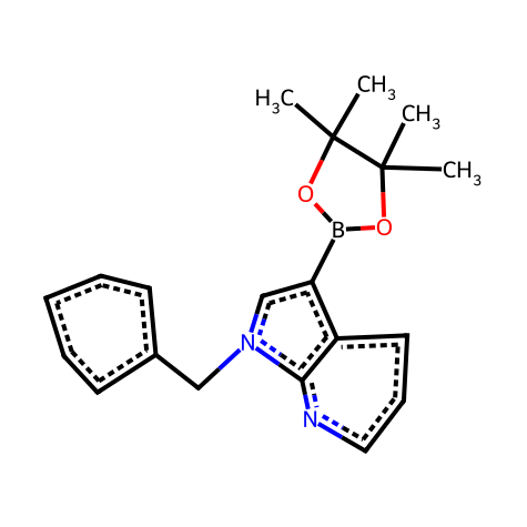 CC1(C)OB(c2cn(Cc3ccccc3)c3ncccc23)OC1(C)C